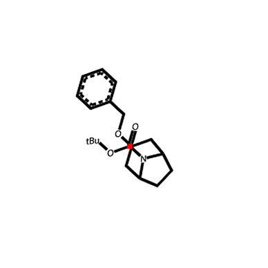 CC(C)(C)OC(=O)N1C2CCC1CC(OCc1ccccc1)C2